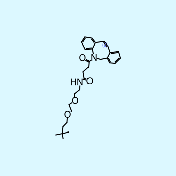 CC(C)(C)CCOCCOCCNC(=O)CCC(=O)N1Cc2ccccc2/C=C\c2ccccc21